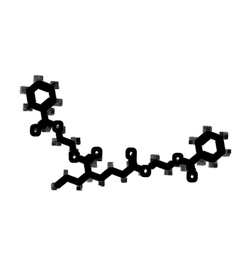 CCCC(CCCC(=O)OCCOC(=O)c1ccccc1)C(=O)OCCOC(=O)c1ccccc1